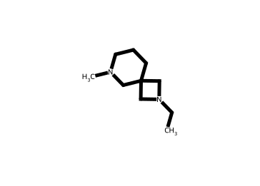 CCN1CC2(CCCN(C)C2)C1